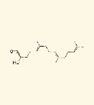 CC(C)=CCCC(C)=CCCC(C)=CCCC(O)=S=O